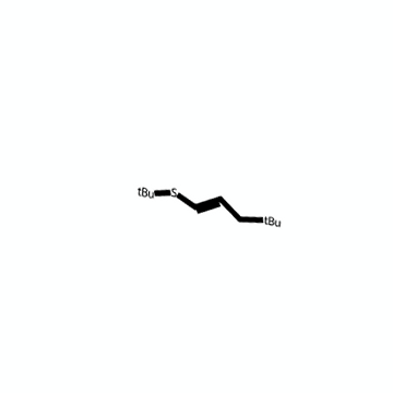 CC(C)(C)CC=CSC(C)(C)C